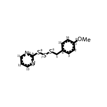 COc1ccc(CSSSc2ncccn2)cc1